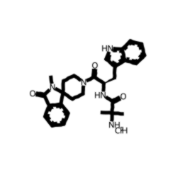 CN1C(=O)c2ccccc2C12CCN(C(=O)[C@@H](Cc1c[nH]c3ccccc13)NC(=O)C(C)(C)N)CC2.Cl